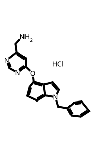 Cl.NCc1cc(Oc2cccc3c2ccn3Cc2ccccc2)ncn1